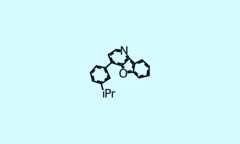 CC(C)c1cccc(-c2ccnc3c2oc2ccccc23)c1